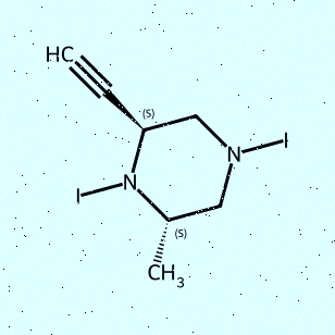 C#C[C@H]1CN(I)C[C@H](C)N1I